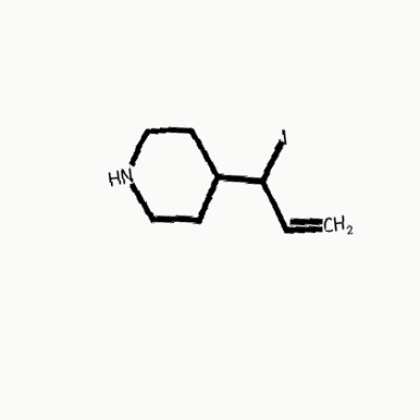 C=CC(I)C1CCNCC1